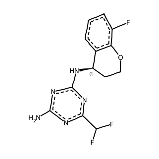 Nc1nc(N[C@@H]2CCOc3c(F)cccc32)nc(C(F)F)n1